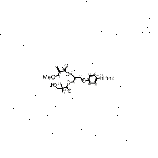 C=C(COC)C(=O)OCC(COC(=O)C(C)(C)CO)COc1ccc(CCCCC)cc1